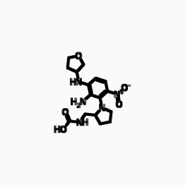 Nc1c(NC2CCOC2)ccc([N+](=O)[O-])c1N1CCCC1CNC(=O)O